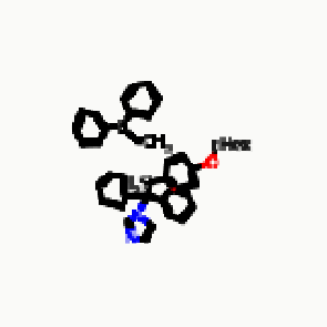 C=CB(c1ccccc1)c1ccccc1.CCCCCCOc1ccc([SiH2]C(c2ccccc2)(c2ccccc2)n2ccnc2)cc1